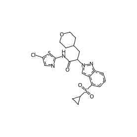 O=C(Nc1ncc(Cl)s1)C(CC1CCOCC1)n1cc2c(S(=O)(=O)C3CC3)cccc2n1